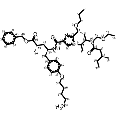 CCCO[C@H](CC(C(C)C)N(COCC)C(=O)C[C@@H](C)CC)c1nc(C(=O)N[C@@H](Cc2ccc(OCCCCN)cc2)C[C@H](C)C(=O)OCc2ccccc2)cs1